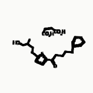 CC(CO)CCc1ccc(C(=O)CCCCc2ccccc2)s1.O=C(O)/C=C\C(=O)O